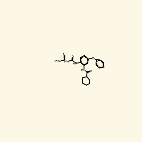 COC(=O)NC(=S)Nc1ccc(Oc2ccccc2)cc1NC(=O)C1CCCCC1